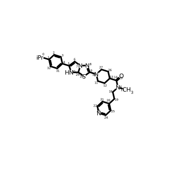 CC(C)c1ccc(C2=CN3N=C(N4CCC(C(=O)N(C)CCc5ccncc5)CC4)SC3N2)cc1